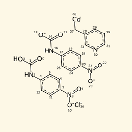 O=C(O)Nc1ccc([N+](=O)[O-])cc1.O=C([O-])Nc1ccc([N+](=O)[O-])cc1.[Cd][CH2]c1cccnc1.[Cl-]